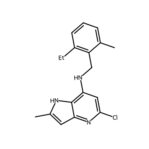 CCc1cccc(C)c1CNc1cc(Cl)nc2cc(C)[nH]c12